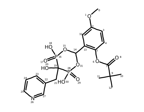 COc1ccc(OC(=O)C(C)(C)C)c(C2OP(=O)(O)C(O)(Cc3cccnc3)P(=O)(O)O2)c1